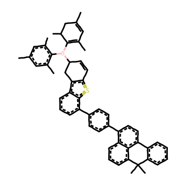 CC1=CC(C)=C(B(c2c(C)cc(C)cc2C)C2C=Cc3sc4c(-c5ccc(-c6ccc7c8c(cccc68)C(C)(C)c6ccccc6-7)cc5)cccc4c3C2)C(C)C1